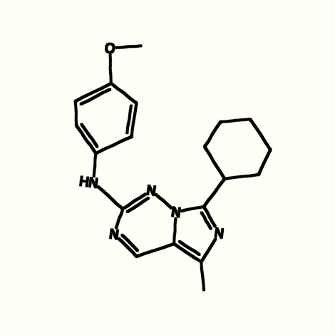 COc1ccc(Nc2ncc3c(C)nc(C4CCCCC4)n3n2)cc1